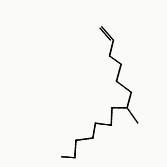 C=CCCCCC(C)CCCCCCC